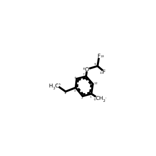 [CH2]c1cc(CC)cc(OC(F)F)c1